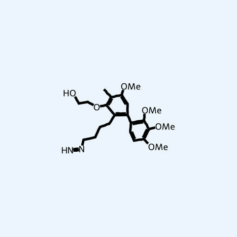 COc1cc(-c2ccc(OC)c(OC)c2OC)c(CCCCN=N)c(OCCO)c1C